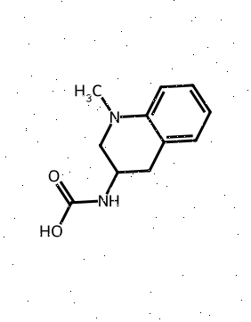 CN1CC(NC(=O)O)Cc2ccccc21